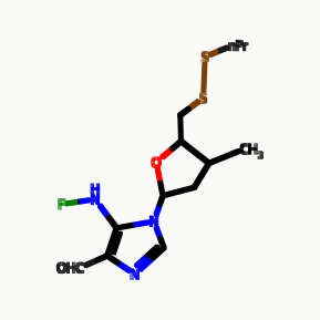 CCCSSCC1OC(n2cnc(C=O)c2NF)CC1C